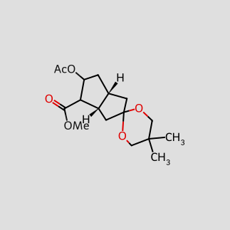 COC(=O)C1C(OC(C)=O)C[C@@H]2CC3(C[C@H]12)OCC(C)(C)CO3